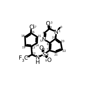 Cn1c(=O)cnc2c(S(=O)(=O)NC(c3ccc(Cl)cc3)C(F)(F)F)cccc21